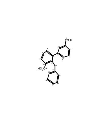 O=C(O)c1ccnc(-c2nccc(C(=O)O)c2Cc2ccccc2)c1